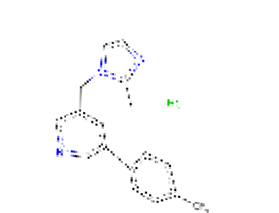 Cc1nccn1Cc1cncc(-c2ccc(C(F)(F)F)cc2)c1.Cl